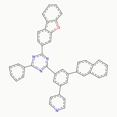 c1ccc(-c2nc(-c3cc(-c4ccncc4)cc(-c4ccc5ccccc5c4)c3)nc(-c3ccc4c(c3)oc3ccccc34)n2)cc1